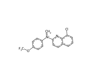 C=[N+](c1ccc(OC(F)(F)F)cc1)c1ccc2cccc(Cl)c2n1